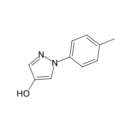 Cc1ccc(-n2cc(O)cn2)cc1